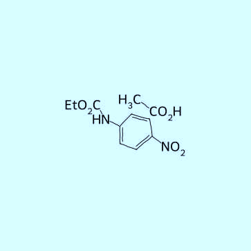 CC(=O)O.CCOC(=O)Nc1ccc([N+](=O)[O-])cc1